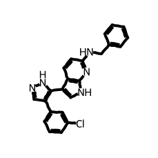 Clc1cccc(-c2cn[nH]c2-c2c[nH]c3nc(NCc4ccccc4)ccc23)c1